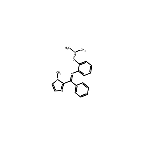 Cn1ccnc1C(=Nc1ccccc1O[SiH](C)C)c1ccccc1